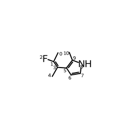 C/C(F)=C(/C)c1cc[nH]c1C